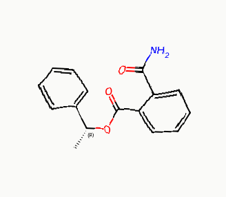 C[C@@H](OC(=O)c1ccccc1C(N)=O)c1ccccc1